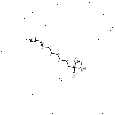 CCCC/C=C/CCCCCCC(C)(C)[NH]